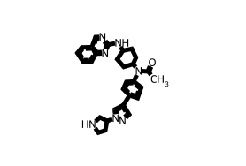 CC(=O)N(c1ccc(-c2cnn(C3CCNC3)c2)cc1)C1CCC(Nc2ncc3ccccc3n2)CC1